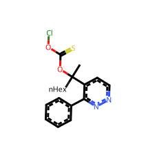 CCCCCCC(C)(OC(=S)OCl)c1ccnnc1-c1ccccc1